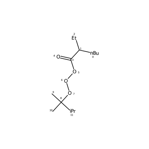 CCCCC(CC)C(=O)OOOC(C)(C)C(C)C